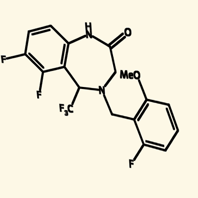 COc1cccc(F)c1CN1CC(=O)Nc2ccc(F)c(F)c2C1C(F)(F)F